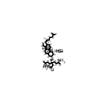 CC(C)CCC[C@@H](C)[C@H]1CC[C@H]2[C@@H]3CC=C4C[C@@H](SSC(CCC(C)N)(CCC(C)N)CC(N)=O)CC[C@]4(C)[C@H]3CC[C@]12C.Cl.Cl